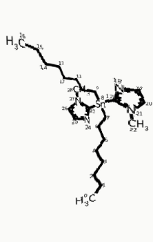 CCCCCCC[CH2][Sn]([CH2]CCCCCCC)([c]1nccn1C)[c]1nccn1C